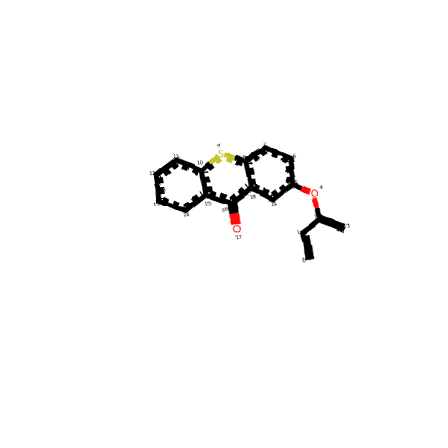 C=CC(=C)Oc1ccc2sc3ccccc3c(=O)c2c1